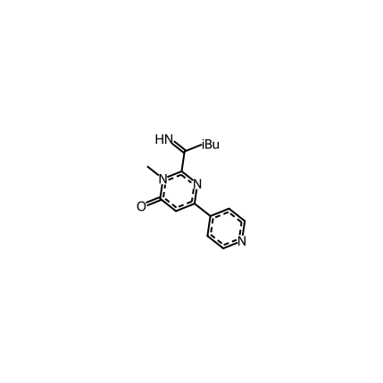 CCC(C)C(=N)c1nc(-c2ccncc2)cc(=O)n1C